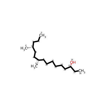 CCC[C@@H](C)CC[C@@H](C)CCCCCC[C@H](O)CC